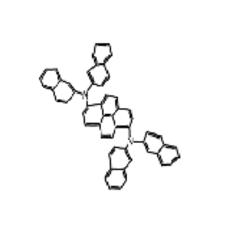 c1ccc2cc(N(c3ccc4ccccc4c3)c3ccc4ccc5c(N(c6ccc7ccccc7c6)c6ccc7ccccc7c6)ccc6ccc3c4c65)ccc2c1